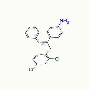 Nc1ccc(/C(=C\c2ccccc2)Cc2ccc(Cl)cc2Cl)cc1